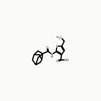 CCc1cc(C(=O)O)c(NC(=O)C23CC4CC(CC2C4)C3)s1